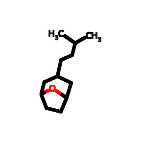 CC(C)CCC1CC2CCC(C1)O2